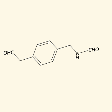 O=[C]Cc1ccc(CNC=O)cc1